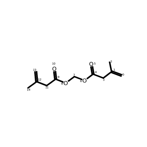 C=C(C)CC(=O)OCOC(=O)CC(=C)C